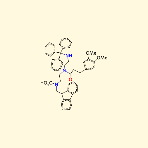 COc1ccc(CCC(=O)N(CCNC(c2ccccc2)(c2ccccc2)c2ccccc2)CCN(CC2c3ccccc3-c3ccccc32)C(=O)O)cc1OC